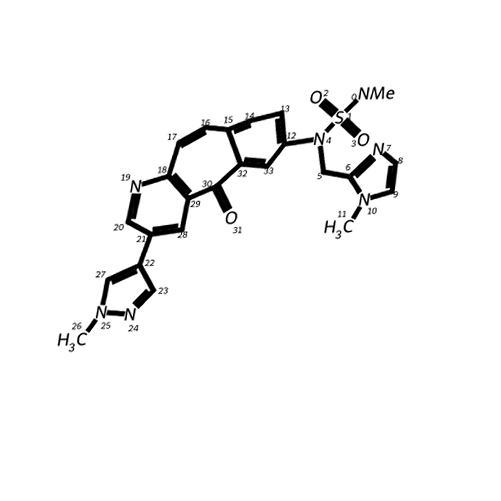 CNS(=O)(=O)N(Cc1nccn1C)c1ccc2ccc3ncc(-c4cnn(C)c4)cc3c(=O)c2c1